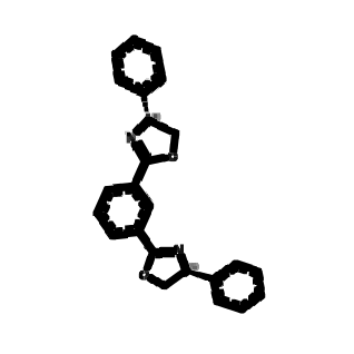 c1ccc([C@@H]2COC(c3cccc(C4=N[C@@H](c5ccccc5)CO4)c3)=N2)cc1